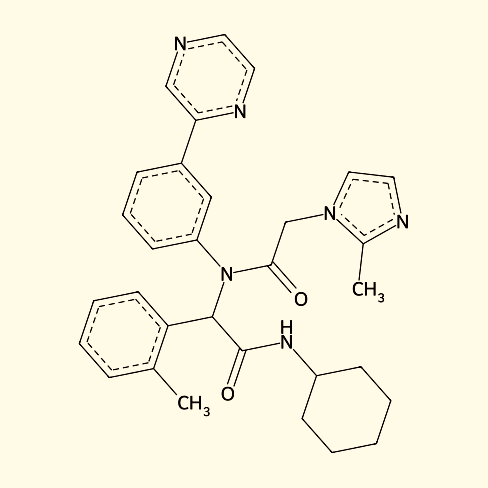 Cc1ccccc1C(C(=O)NC1CCCCC1)N(C(=O)Cn1ccnc1C)c1cccc(-c2cnccn2)c1